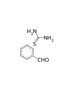 NC(N)=S.O=Cc1ccccc1